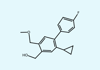 COCc1cc(-c2ccc(F)cc2)c(C2CC2)cc1CO